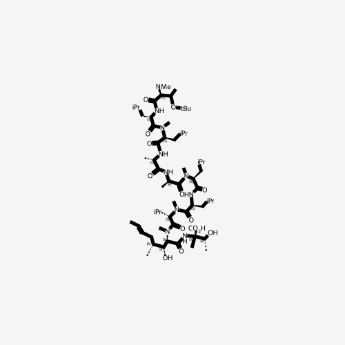 CC=CC[C@@H](C)[C@@H](O)[C@@H](C(=O)N[C@](C)(C(=O)O)[C@@H](C)O)N(C)C(=O)[C@H](C(C)C)N(C)C(=O)[C@H](CC(C)C)NC(=O)[C@H](CC(C)C)N(C)C(=O)[C@@H](C)NC(=O)[C@H](C)NC(=O)[C@H](CC(C)C)N(C)C(=O)[C@H](CC(C)C)NC(=O)[C@@H](NC)C(C)OC(C)(C)C